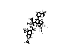 COc1cc(C(=O)NCC(O)(c2cc3c(c(-c4cccc(C(F)(F)F)c4)n2)OC[C@]3(C)C(N)=O)C2CC2)cc2cn(C3CC3)nc12